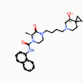 C[C@H]1C(=O)N(CCCCN2CCC3(CC3)[C@H](O)C2)CCN1C(=O)Nc1cccc2ccccc12